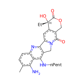 CCCCCNc1c2c(nc3ccc(C)c(N)c13)-c1cc3c(c(=O)n1C2)COC(=O)[C@]3(O)CC